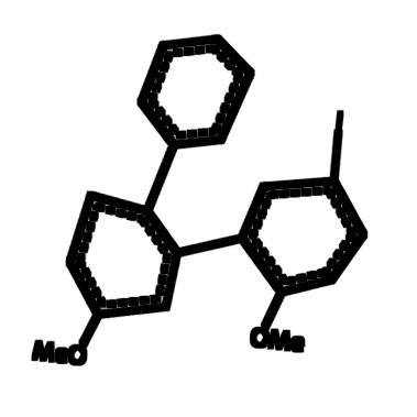 COc1ccc(-c2ccccc2)c(-c2cc(I)ccc2OC)c1